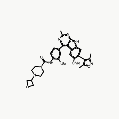 COc1cc2c(cc1-c1c(C)noc1C)[nH]c1nc(C)nc(-c3ccc(NC(=O)N4CCN(C5COC5)CC4)c(C(C)(C)C)c3)c12